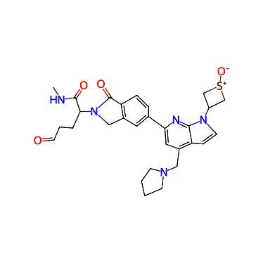 CNC(=O)C(CCC=O)N1Cc2cc(-c3cc(CN4CCCC4)c4ccn(C5C[S+]([O-])C5)c4n3)ccc2C1=O